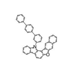 c1ccc(-c2ccc(-c3cccc(-n4c5ccccc5c5ccc6oc7cc8ccccc8cc7c6c54)c3)cc2)cc1